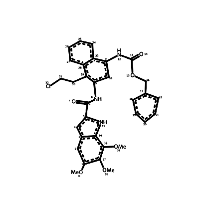 COc1cc2cc(C(=O)Nc3cc(NC(=O)OCc4ccccc4)c4ccccc4c3CCCl)[nH]c2c(OC)c1OC